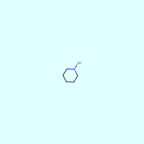 SN1CCCCC1